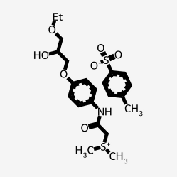 CCOCC(O)COc1ccc(NC(=O)C[S+](C)C)cc1.Cc1ccc(S(=O)(=O)[O-])cc1